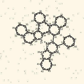 c1ccc(-c2nc3c(nc2-c2cc4ccccc4c4c5ccccc5c5c(sc6ccc7ccccc7c65)c24)sc2ccccc23)cc1